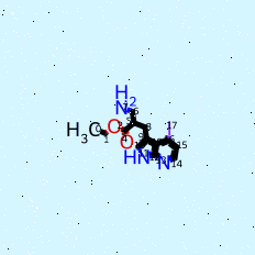 CCOC(=O)C(CN)Cc1c[nH]c2nccc(I)c12